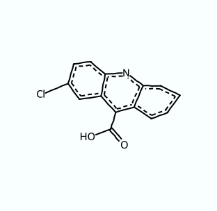 O=C(O)c1c2ccccc2nc2ccc(Cl)cc12